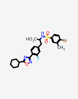 Cc1cc(S(=O)(=O)NC(Cc2ccc(-c3noc(C4CCCCC4)n3)c(F)c2)C(=O)O)ccc1Br